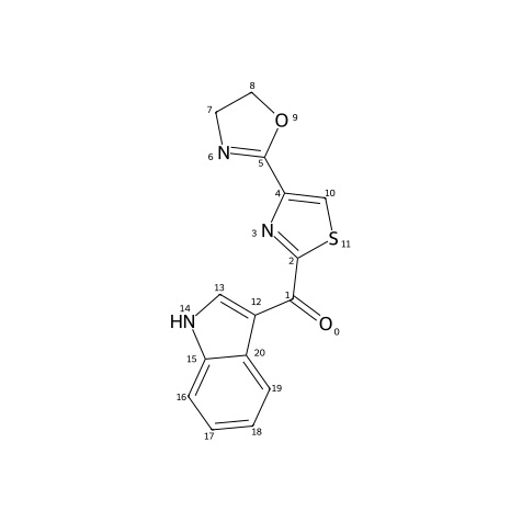 O=C(c1nc(C2=NCCO2)cs1)c1c[nH]c2ccccc12